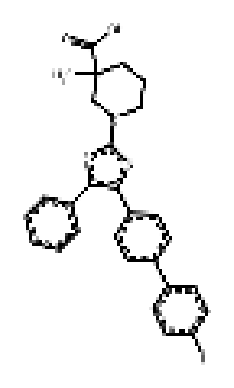 CC1(C(=O)O)CCCN(c2nc(-c3ccc(-c4ccc(F)cc4)cc3)c(-c3ccccc3)s2)C1